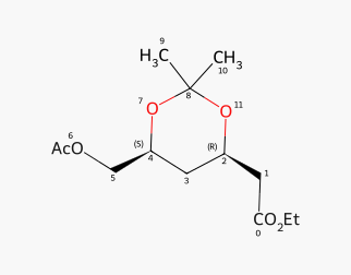 CCOC(=O)C[C@H]1C[C@@H](COC(C)=O)OC(C)(C)O1